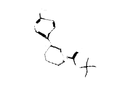 CC(C)(C)OC(=O)N1CCC[C@@H](c2ccc(O)nc2)C1